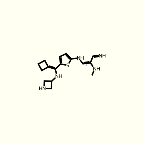 CN/C(C=N)=C/Nc1ccc(C(NC2CNC2)=C2CCC2)s1